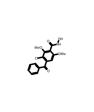 COc1cc(C(=O)c2ccccc2)c(Cl)c(OC)c1C(=O)NO